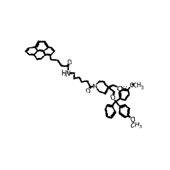 COc1ccc(C(OCC2(CO)CCN(C(=O)CCCCCNC(=O)CCCc3ccc4ccc5cccc6ccc3c4c56)CC2)(c2ccccc2)c2ccc(OC)cc2)cc1